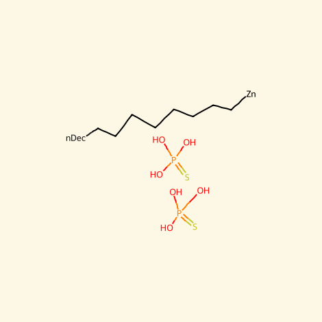 CCCCCCCCCCCCCCCCC[CH2][Zn].OP(O)(O)=S.OP(O)(O)=S